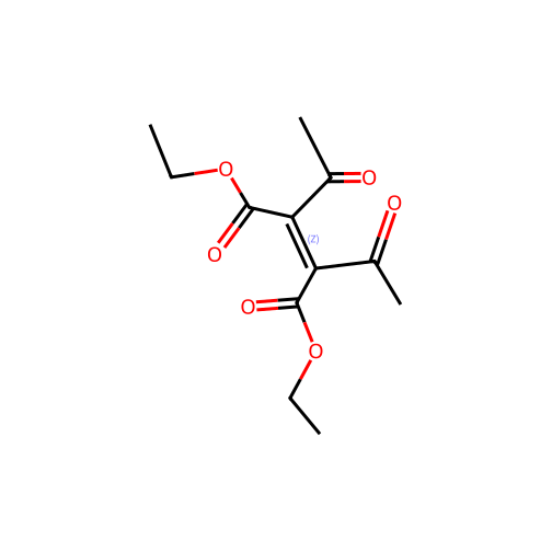 CCOC(=O)/C(C(C)=O)=C(/C(C)=O)C(=O)OCC